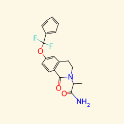 CC(C(N)=O)N1CCc2cc(OC(F)(F)c3ccccc3)ccc2C1=O